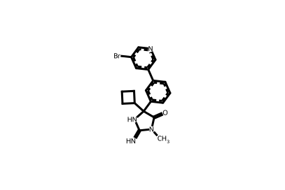 CN1C(=N)NC(c2cccc(-c3cncc(Br)c3)c2)(C2CCC2)C1=O